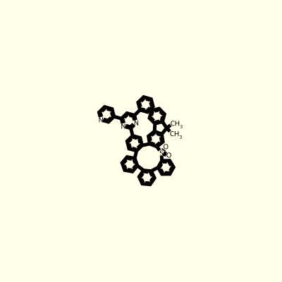 CC1(C)c2ccccc2-c2cc3c(cc21)S(=O)(=O)c1ccccc1-c1ccccc1-c1ccccc1-c1ccc(-c2nc(-c4ccccc4)cc(-c4cccnc4)n2)cc1-3